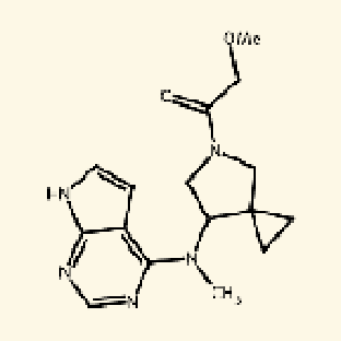 COCC(=O)N1CC(N(C)c2ncnc3[nH]ccc23)C2(CC2)C1